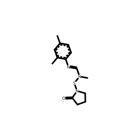 Cc1ccc(N=CN(C)SN2CCCC2=O)c(C)c1